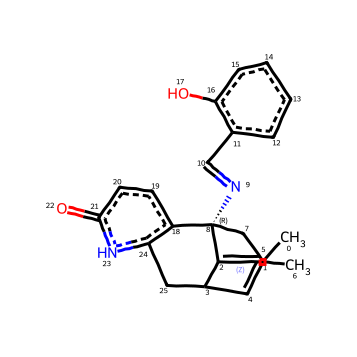 C/C=C1/C2C=C(C)C[C@]1(N=Cc1ccccc1O)c1ccc(=O)[nH]c1C2